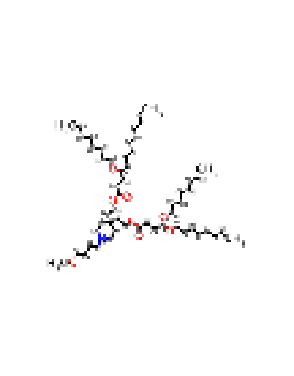 CCCCCCCCCC(CCC(=O)OCCC1(CCOC(=O)CCC(OCCCCCCCC)OCCCCCCCC)CCN(CCCCOC)CC1)OCCCCCCCC